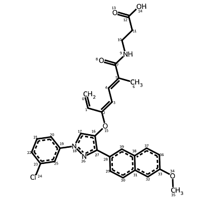 C=C/C(=C\C=C(/C)C(=O)NCCC(=O)O)Oc1cn(-c2cccc(Cl)c2)nc1-c1ccc2cc(OC)ccc2c1